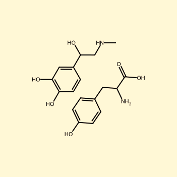 CNCC(O)c1ccc(O)c(O)c1.NC(Cc1ccc(O)cc1)C(=O)O